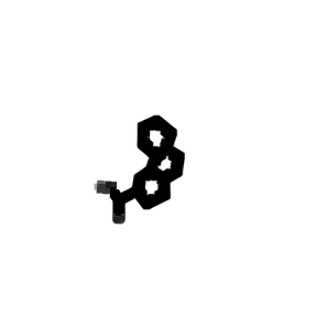 [NH]C(=O)c1ccc2ccc3ccccc3c2c1